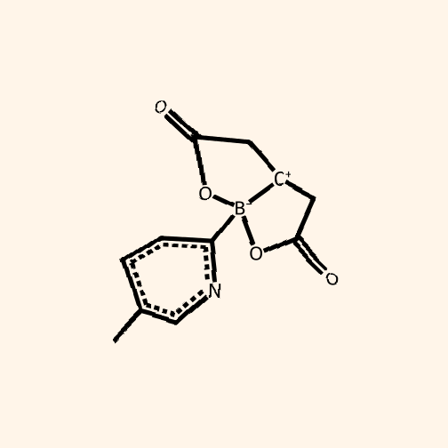 Cc1ccc([B-]23OC(=O)C[C+]2CC(=O)O3)nc1